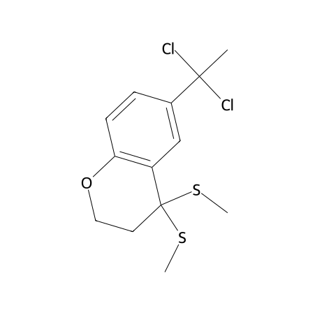 CSC1(SC)CCOc2ccc(C(C)(Cl)Cl)cc21